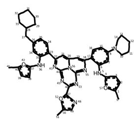 Cc1ccc(Nc2cc(N3CCCCC3)ccc2C2=CC3=CC(c4ccc(CC5CCCCC5)cc4Nc4ccc(C)o4)=NC4=NC(c5ncc(C)o5)=NC(=N2)N34)o1